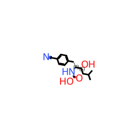 CC(C)C[C@H](O)[C@@H](Cc1ccc(C#N)cc1)NC(=O)O